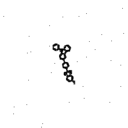 Ic1ccc2oc(-c3ccc(-c4ccc5c(c4)c4ccccc4n5-c4ccccc4)cc3)nc2c1